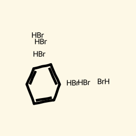 Br.Br.Br.Br.Br.Br.c1ccccc1